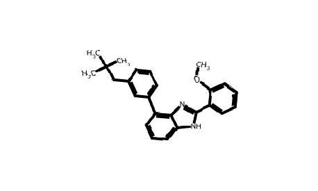 COc1ccccc1-c1nc2c(-c3cccc([CH]C(C)(C)C)c3)cccc2[nH]1